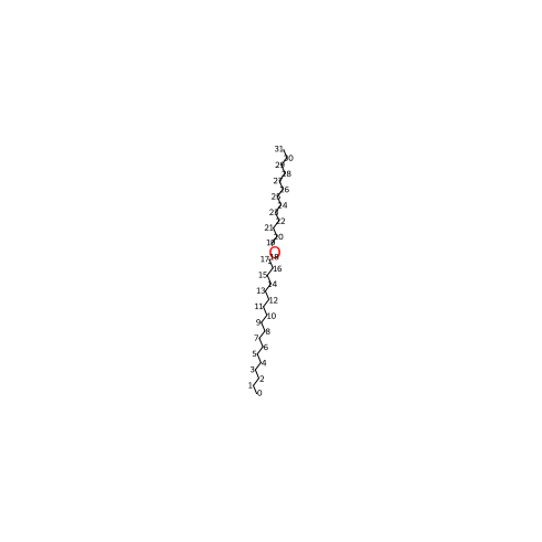 CCCCCCCCCCCCCCCCC[CH]OCCCCCCCCCCCCC